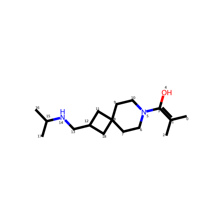 CC(C)=C(O)N1CCC2(CC1)CC(CNC(C)C)C2